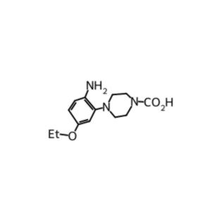 CCOc1ccc(N)c(N2CCN(C(=O)O)CC2)c1